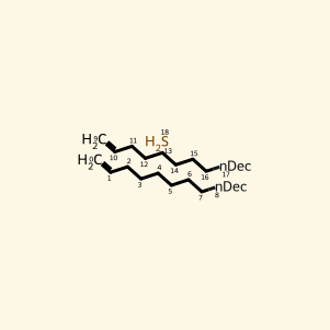 C=CCCCCCCCCCCCCCCCC.C=CCCCCCCCCCCCCCCCC.S